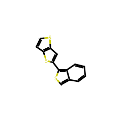 [c]1cc2sc(-c3s[c]c4ccccc34)cc2s1